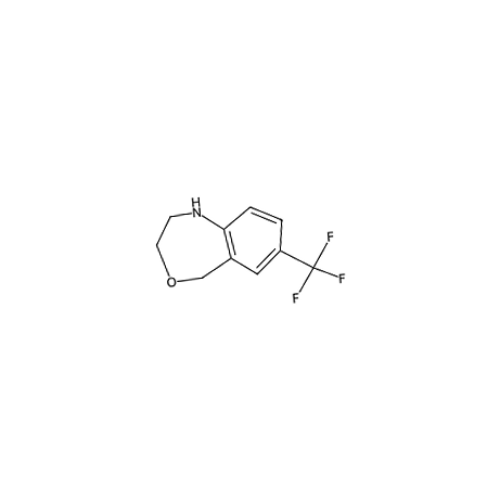 FC(F)(F)c1ccc2c(c1)COCCN2